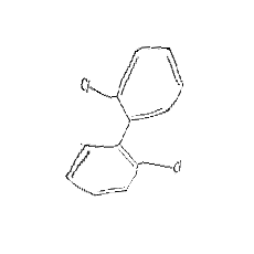 Clc1ccc[c]c1-c1ccccc1Cl